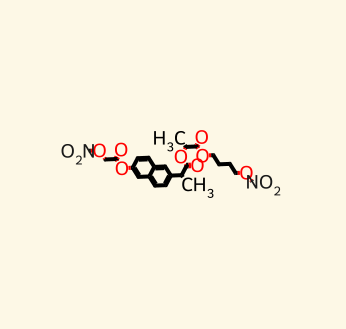 CC(OC(=O)C(C)c1ccc2cc(OC(=O)CO[N+](=O)[O-])ccc2c1)C(=O)OCCCCO[N+](=O)[O-]